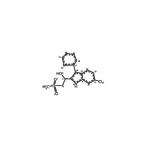 CS(=O)(=O)CC(O)c1[nH]c2cc(Cl)ccc2c1-c1ccccn1